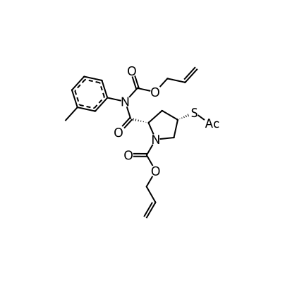 C=CCOC(=O)N(C(=O)[C@@H]1C[C@H](SC(C)=O)CN1C(=O)OCC=C)c1cccc(C)c1